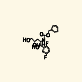 O=C(NC(CC(O)CO)C(O)c1cc(F)ccc1F)OCc1ccccc1